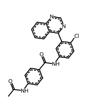 CC(=O)Nc1ccc(C(=O)Nc2ccc(Cl)c(-c3ncnc4ccccc34)c2)cc1